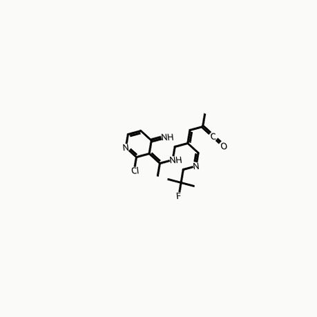 CC(=C=O)/C=C(\C=N/CC(C)(C)F)CN/C(C)=C1\C(=N)C=CN=C1Cl